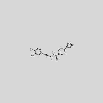 CC(C#Cc1ccc(Cl)c(Cl)c1)NC(=O)N1CCC(n2ccnc2)CC1